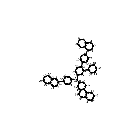 C1=Cc2c(cccc2-c2ccc(-c3ccc(N(c4ccc(-c5ccc6ccccc6c5)cc4)c4ccc5c(ccc6ccccc65)c4)cc3-c3ccccc3)cc2)CC1